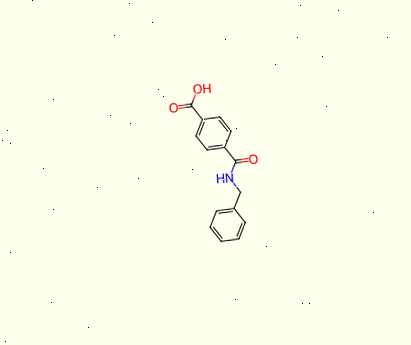 O=C(O)c1ccc(C(=O)NCc2ccccc2)cc1